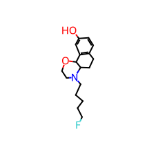 Oc1ccc2c(c1)C1OCCN(CCCCCF)C1CC2